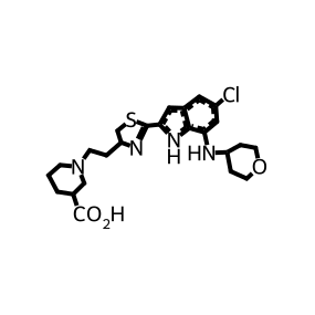 O=C(O)C1CCCN(CCC2CSC(c3cc4cc(Cl)cc(NC5CCOCC5)c4[nH]3)=N2)C1